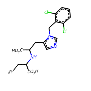 CC(C)CC(NC(Cc1cncn1Cc1c(Cl)cccc1Cl)C(=O)O)C(=O)O